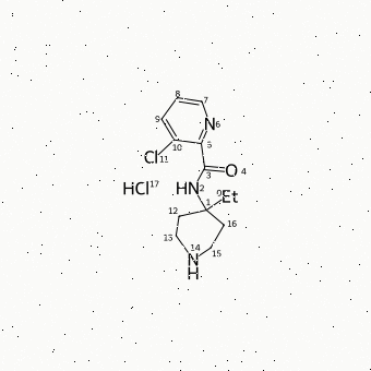 CCC1(NC(=O)c2ncccc2Cl)CCNCC1.Cl